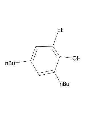 CCCCc1cc(CC)c(O)c(CCCC)c1